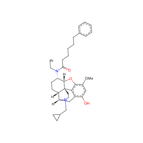 COc1cc(O)c2c3c1O[C@H]1[C@@H](N(CC(C)C)C(=O)CCCCCc4ccccc4)CC[C@H]4[C@@H](C2)N(CC2CC2)CC[C@@]341